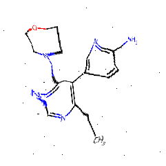 CCc1ncnc(N2CCOCC2)c1-c1ccc(N)nc1